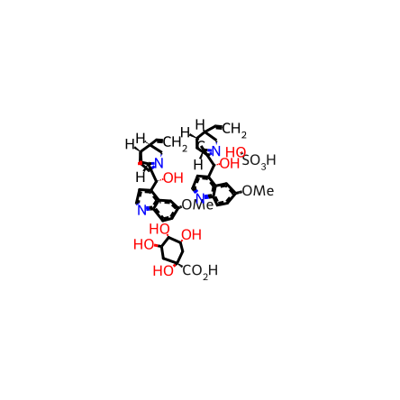 C=C[C@H]1C[N@]2CC[C@H]1C[C@H]2[C@H](O)c1ccnc2ccc(OC)cc12.C=C[C@H]1C[N@]2CC[C@H]1C[C@H]2[C@H](O)c1ccnc2ccc(OC)cc12.O=C(O)[C@@]1(O)CC(O)[C@H](O)[C@H](O)C1.O=S(=O)(O)O